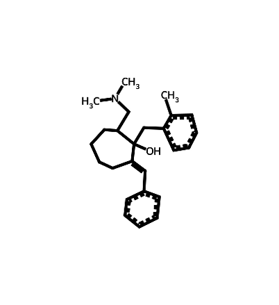 Cc1ccccc1CC1(O)C(=Cc2ccccc2)CCCCC1CN(C)C